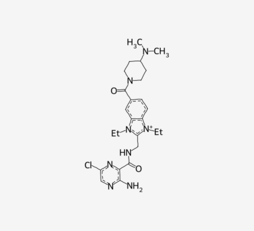 CCn1c(CNC(=O)c2nc(Cl)cnc2N)[n+](CC)c2ccc(C(=O)N3CCC(N(C)C)CC3)cc21